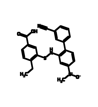 CCc1ccc(C(=O)O)cc1SNc1cc([S+](C)[O-])ccc1-c1cccc(C#N)c1